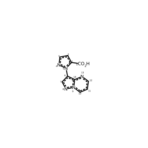 O=C(O)c1ccnn1-c1cnn2cccnc12